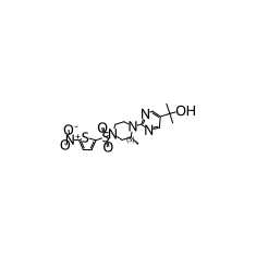 C[C@H]1CN(S(=O)(=O)c2ccc([N+](=O)[O-])s2)CCN1c1ncc(C(C)(C)O)cn1